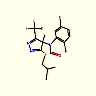 CC(C)CSC1=NN=C(C(F)(F)F)C1(C)N(C=O)c1cc(F)ccc1F